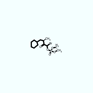 COP(=O)(OC)OC(Br)C(=O)[C@H](C)CC1CCCCC1